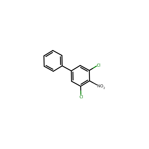 O=[N+]([O-])c1c(Cl)cc(-c2ccccc2)cc1Cl